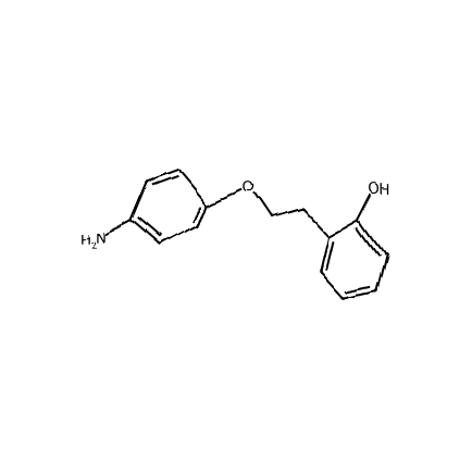 Nc1ccc(OCCc2ccccc2O)cc1